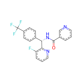 O=C(N[C@@H](c1ccc(C(F)(F)F)cc1)c1ncccc1F)c1cccnc1